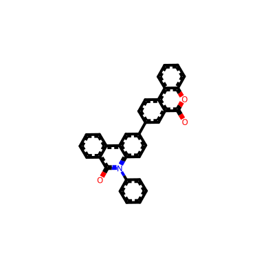 O=c1oc2ccccc2c2ccc(-c3ccc4c(c3)c3ccccc3c(=O)n4-c3ccccc3)cc12